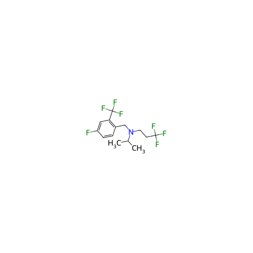 CC(C)N(CCC(F)(F)F)Cc1ccc(F)cc1C(F)(F)F